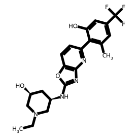 CCN1C[C@@H](O)C[C@@H](Nc2nc3nc(-c4c(C)cc(C(F)(F)F)cc4O)ccc3o2)C1